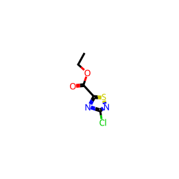 CCOC(=O)c1nc(Cl)ns1